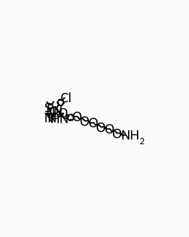 Cc1sc2c(c1C)C(c1ccc(Cl)cc1)=N[C@@H](CC(=O)Nc1ccc(OCCOCCOCCOCCOCCOCCN)cc1)c1nnc(C)n1-2